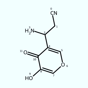 N#CCC(N)c1cocc(O)c1=O